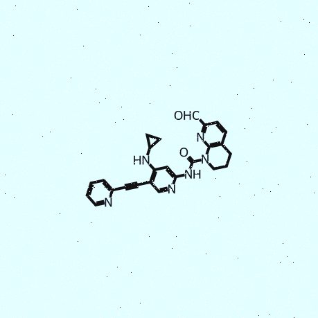 O=Cc1ccc2c(n1)N(C(=O)Nc1cc(NC3CC3)c(C#Cc3ccccn3)cn1)CCC2